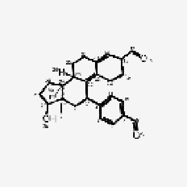 C[C@]12CC(c3ccc(C=O)cc3)C3=C4CCC(C=O)C=C4CC[C@H]3[C@@H]1CCC2O